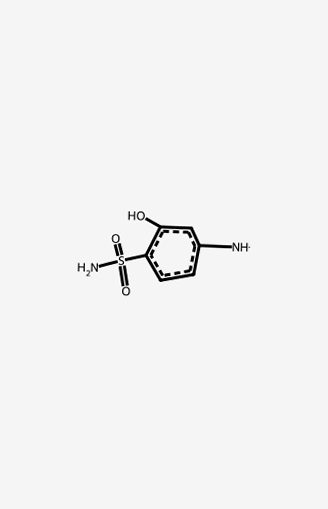 [NH]c1ccc(S(N)(=O)=O)c(O)c1